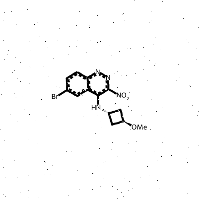 CO[C@H]1C[C@H](Nc2c([N+](=O)[O-])nnc3ccc(Br)cc23)C1